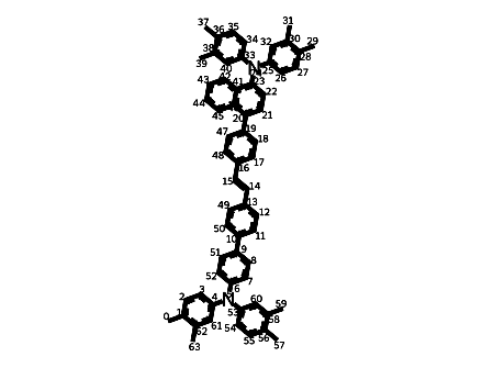 Cc1ccc(N(c2ccc(-c3ccc(/C=C/c4ccc(-c5ccc(N(c6ccc(C)c(C)c6)c6ccc(C)c(C)c6)c6ccccc56)cc4)cc3)cc2)c2ccc(C)c(C)c2)cc1C